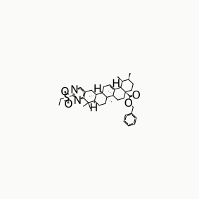 CCS(=O)(=O)c1ncc2c(n1)C(C)(C)[C@H]1CC[C@@]3(C)[C@@H](CC=C4[C@@H]5[C@@H](C)[C@@H](C)CC[C@]5(C(=O)OCc5ccccc5)CC[C@]43C)[C@]1(C)C2